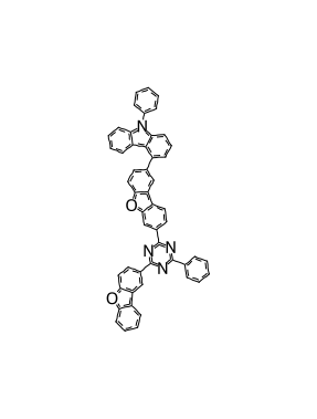 c1ccc(-c2nc(-c3ccc4c(c3)oc3ccc(-c5cccc6c5c5ccccc5n6-c5ccccc5)cc34)nc(-c3ccc4oc5ccccc5c4c3)n2)cc1